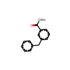 COC(=O)c1cccc(Cc2cc[c]cc2)c1